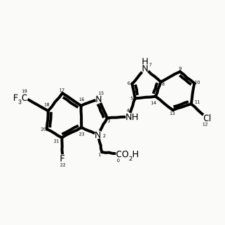 O=C(O)Cn1c(Nc2c[nH]c3ccc(Cl)cc23)nc2cc(C(F)(F)F)cc(F)c21